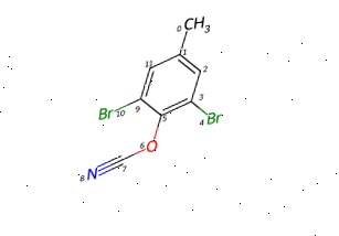 Cc1cc(Br)c(OC#N)c(Br)c1